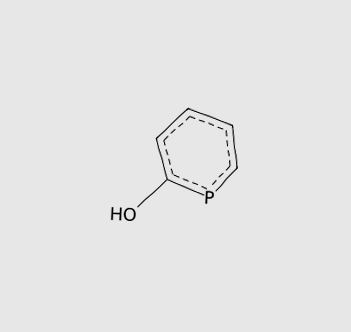 Oc1ccccp1